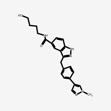 Cn1cc(-c2ccc(Cc3n[nH]c4ccc(C(=O)NCCCCO)cc34)cc2)cn1